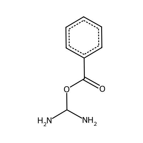 NC(N)OC(=O)c1ccccc1